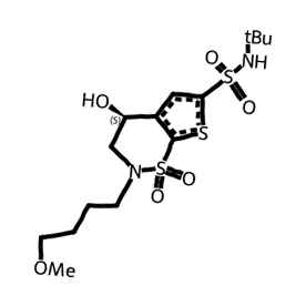 COCCCCN1C[C@@H](O)c2cc(S(=O)(=O)NC(C)(C)C)sc2S1(=O)=O